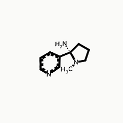 CN1CCC[C@]1(N)c1cccnc1